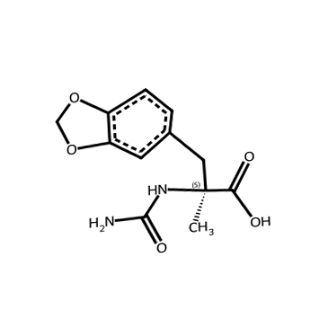 C[C@@](Cc1ccc2c(c1)OCO2)(NC(N)=O)C(=O)O